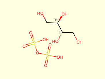 O=S(=O)(O)OS(=O)(=O)O.OC[C@@H](O)[C@@H](O)CO